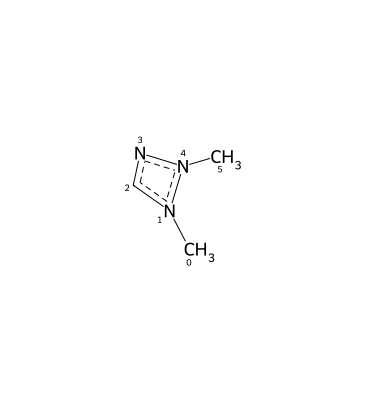 Cn1cnn1C